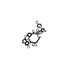 CC[C@H]1[C@@H](OC)/C=C/C[C@H](C)CS(=O)(NC(=O)c2cn(C)nc2N2CCC(OC)CC2)=NC(=O)c2ccc3c(c2)N(C[C@@H]1C)C[C@@]1(CCCc2cc(Cl)ccc21)CO3